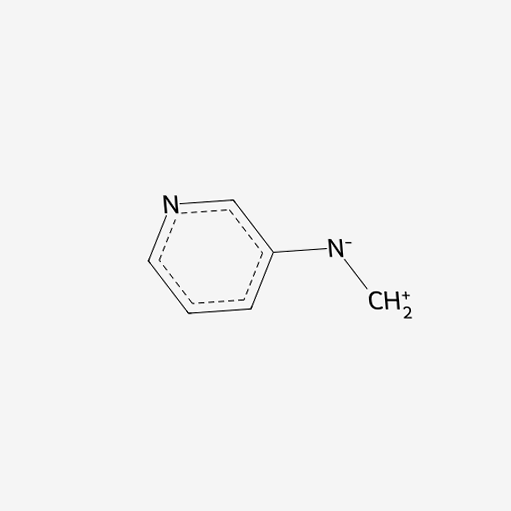 [CH2+][N-]c1cccnc1